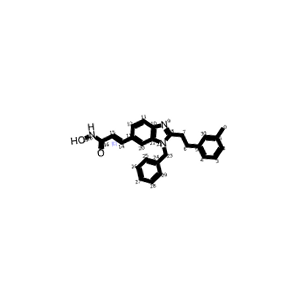 Cc1cccc(CCc2nc3ccc(/C=C/C(=O)NO)cc3n2Cc2ccccc2)c1